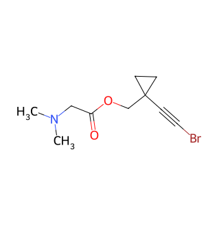 CN(C)CC(=O)OCC1(C#CBr)CC1